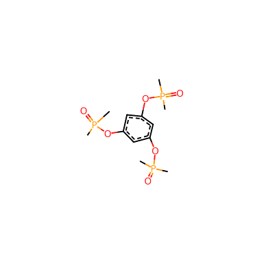 CP(C)(=O)Oc1cc(OP(C)(C)=O)cc(OP(C)(C)=O)c1